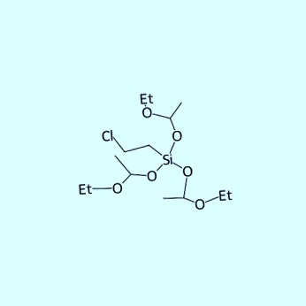 CCOC(C)O[Si](CCCl)(OC(C)OCC)OC(C)OCC